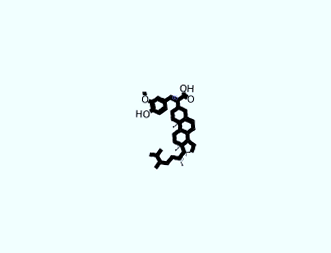 COc1cc(/C=C(/C(=O)O)C2CC[C@@]3(C)C(=CCC4C3CC[C@@]3(C)C4CC[C@@H]3[C@H](C)CCC(C)C(C)C)C2)ccc1O